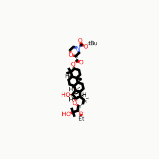 CCO[C@@H]([C@H]1C[C@@H](C)[C@H]2[C@H](O1)[C@H](O)[C@@]1(C)[C@@H]3CC[C@H]4C(C)(C)[C@@H](OC(=O)[C@H]5CN(C(=O)OC(C)(C)C)CCO5)CCC45C[C@@]35CC[C@]21C)C(C)(C)O